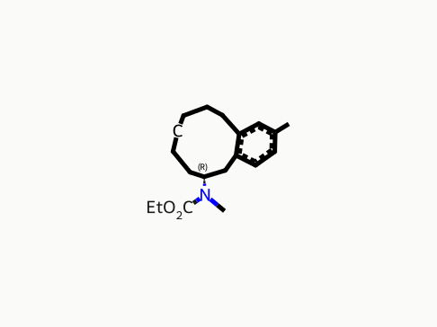 CCOC(=O)N(C)[C@@H]1CCCCCCc2cc(C)ccc2C1